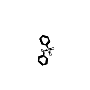 O=S(=O)([Se]c1ccccc1)c1ccccc1